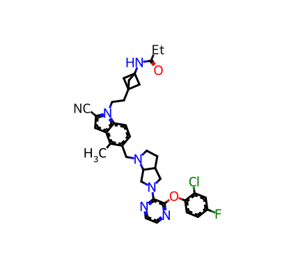 CCC(=O)NC12CC(CCn3c(C#N)cc4c(C)c(CN5CCC6CN(c7nccnc7Oc7ccc(F)cc7Cl)CC65)ccc43)(C1)C2